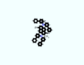 Cc1ccc(-c2ccccc2)cc1N(c1cccc(C2CCCCC2)c1)c1cc(C(C)C)c2ccc3c(N(c4cccc(C5CCCCC5)c4)c4cc(-c5ccccc5)ccc4C)cc(C(C)C)c4ccc1c2c43